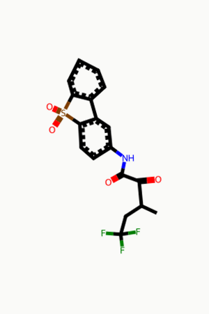 CC(CC(F)(F)F)C(=O)C(=O)Nc1ccc2c(c1)-c1ccccc1S2(=O)=O